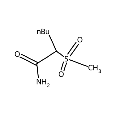 CCCCC(C(N)=O)S(C)(=O)=O